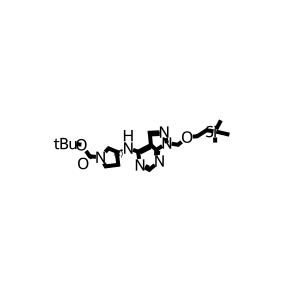 CC(C)(C)OC(=O)N1CC[C@@H](Nc2ncnc3c2cnn3COCC[Si](C)(C)C)C1